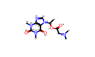 CC(OC(=O)CN(C)C)n1cnc2c1c(=O)n(C)c(=O)n2C